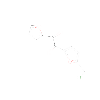 O=C(C(=O)c1ccc(CCl)o1)c1ccco1